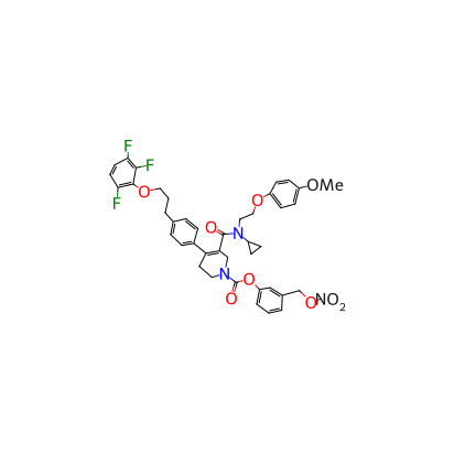 COc1ccc(OCCN(C(=O)C2=C(c3ccc(CCCOc4c(F)ccc(F)c4F)cc3)CCN(C(=O)Oc3cccc(CO[N+](=O)[O-])c3)C2)C2CC2)cc1